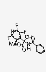 COC(=O)C(C)(NC(=O)c1ccccc1)c1c(F)c(F)nc(F)c1F